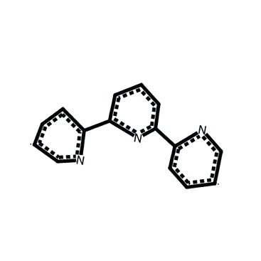 [c]1ccc(-c2cccc(-c3cc[c]cn3)n2)nc1